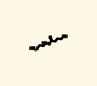 O=C(CCCO)ONCCS(=O)(=O)O